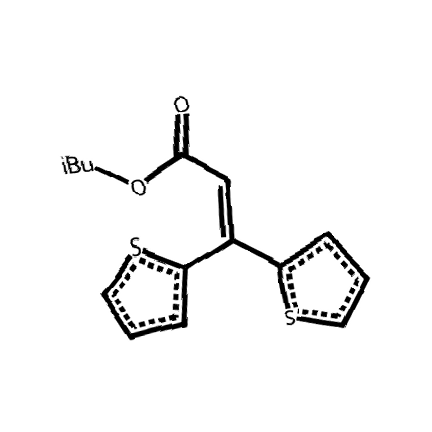 CCC(C)OC(=O)C=C(c1cccs1)c1cccs1